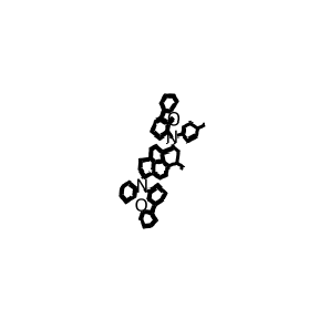 CC1C=CC(N(C2=c3ccc4ccc(N(c5ccccc5)c5cccc6c5oc5ccccc56)c5ccc(c3c45)C(C)C2)c2cccc3c2oc2ccccc23)=CC1